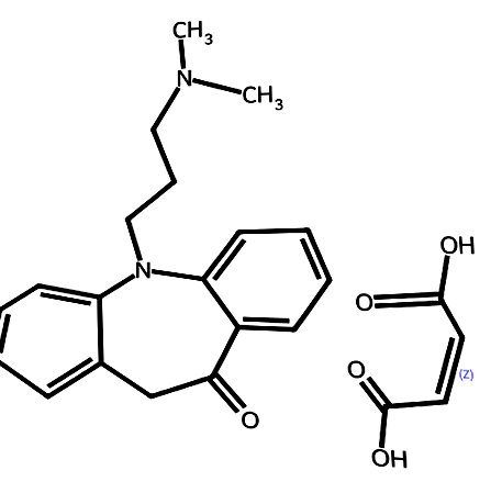 CN(C)CCCN1c2ccccc2CC(=O)c2ccccc21.O=C(O)/C=C\C(=O)O